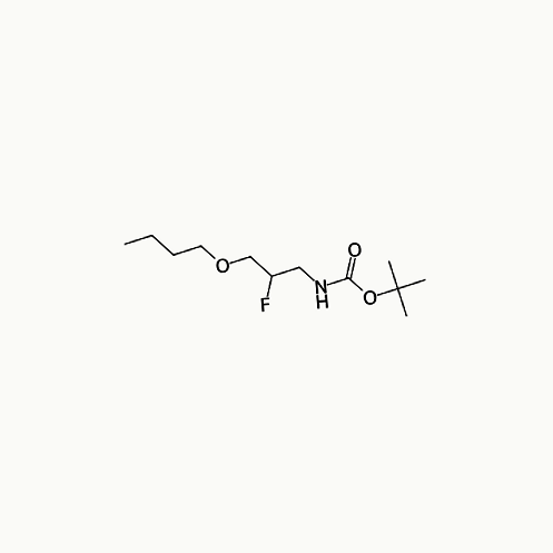 CCCCOCC(F)CNC(=O)OC(C)(C)C